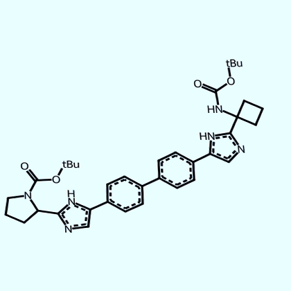 CC(C)(C)OC(=O)NC1(c2ncc(-c3ccc(-c4ccc(-c5cnc(C6CCCN6C(=O)OC(C)(C)C)[nH]5)cc4)cc3)[nH]2)CCC1